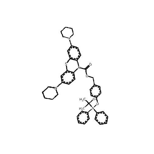 CC(C)(C)[Si](Oc1ccc(COC(=O)N2c3ccc(N4CCCCC4)cc3Sc3cc(N4CCCCC4)ccc32)cc1)(c1ccccc1)c1ccccc1